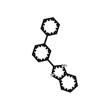 c1ccc(-c2cccc(-c3nc4ccccc4[nH]3)c2)cc1